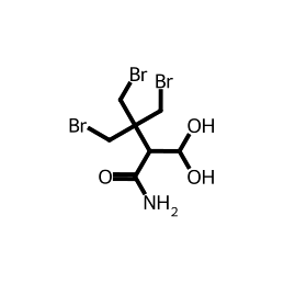 NC(=O)C(C(O)O)C(CBr)(CBr)CBr